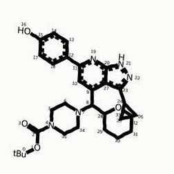 CC(C)(C)OC(=O)N1CCN(C(c2cc(-c3ccc(O)cc3)nc3[nH]nc(C4CC4)c23)C2CCCCO2)CC1